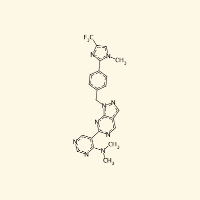 CN(C)c1ncncc1-c1ncc2cnn(Cc3ccc(-c4nc(C(F)(F)F)cn4C)cc3)c2n1